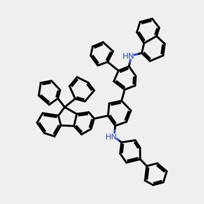 c1ccc(-c2ccc(Nc3ccc(-c4ccc(Nc5cccc6ccccc56)c(-c5ccccc5)c4)cc3-c3ccc4c(c3)C(c3ccccc3)(c3ccccc3)c3ccccc3-4)cc2)cc1